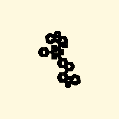 c1ccc(-c2nc(-c3ccc4c(-c5cccc6oc7ccccc7c56)cccc4c3)nc(-c3nccc4oc5ccccc5c34)n2)cc1